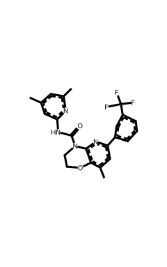 Cc1cc(C)nc(NC(=O)N2CCOc3c(C)cc(-c4cccc(C(F)(F)F)c4)nc32)c1